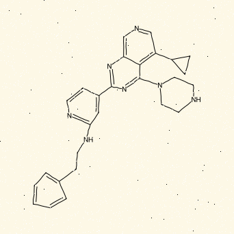 c1ccc(CCNc2cc(-c3nc(N4CCNCC4)c4c(C5CC5)cncc4n3)ccn2)cc1